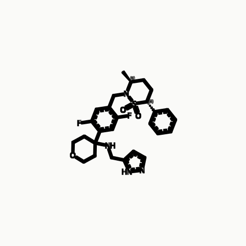 C[C@H]1CC[C@H](c2ccccc2)S(=O)(=O)N1Cc1cc(F)c(C2(NCc3ccn[nH]3)CCOCC2)cc1F